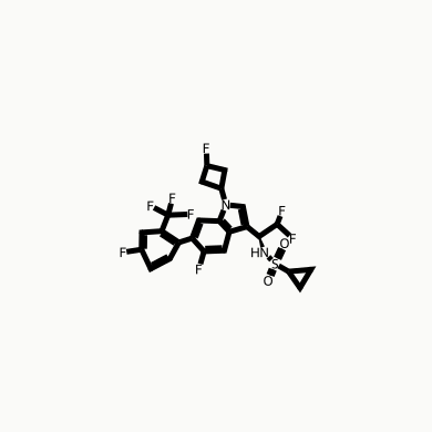 O=S(=O)(N[C@@H](c1cn(C2CC(F)C2)c2cc(-c3ccc(F)cc3C(F)(F)F)c(F)cc12)C(F)F)C1CC1